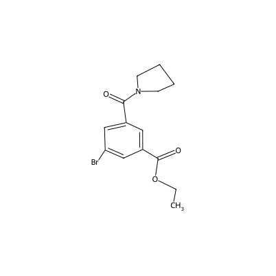 CCOC(=O)c1cc(Br)cc(C(=O)N2CCCC2)c1